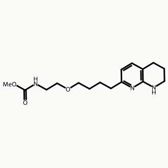 COC(=O)NCCOCCCCc1ccc2c(n1)NCCC2